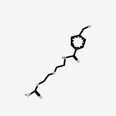 NC(=O)OCCOCCNC(=O)c1ccc(CCl)cc1